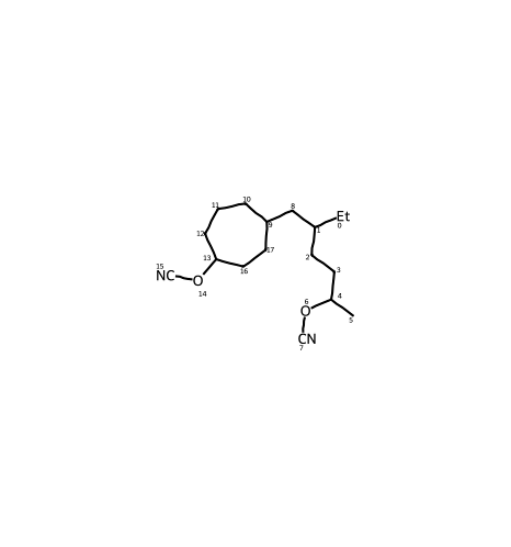 CCC(CCC(C)OC#N)CC1CCCC(OC#N)CC1